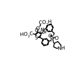 O=C(O)COc1c(C(=O)O)sc(-c2cccc(N(C3CCNCC3)S(=O)(=O)Cc3cccc([N+](=O)[O-])c3)c2)c1Br